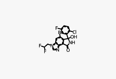 O=C1NC(O)(c2cc(F)ccc2Cl)c2c(Br)cc3c(ncn3CC(F)F)c21